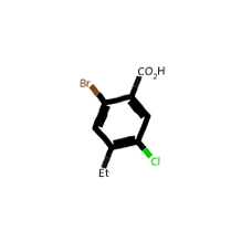 CCc1cc(Br)c(C(=O)O)cc1Cl